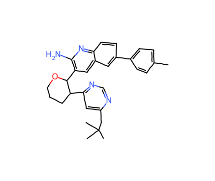 Cc1ccc(-c2ccc3nc(N)c(C4OCCCC4c4cc(CC(C)(C)C)ncn4)cc3c2)cc1